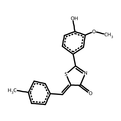 COc1cc(C2=NC(=O)C(=Cc3ccc(C)cc3)S2)ccc1O